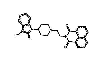 CCn1c(=O)n(C2CCN(CCN3C(=O)c4cccc5cccc(c45)C3=O)CC2)c2ccccc21